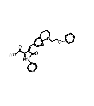 O=C(O)C1=NN(c2ccccc2)C(=O)/C1=C\c1ccc2c(c1)CCCN2CCOc1ccccc1